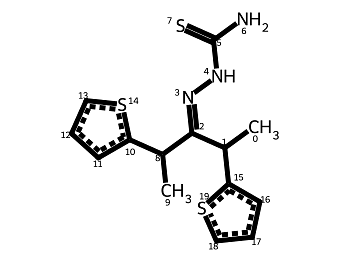 CC(C(=NNC(N)=S)C(C)c1cccs1)c1cccs1